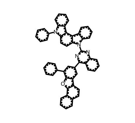 c1ccc(-c2cc(-c3nc(-n4c5ccccc5c5c6c7ccccc7n(-c7ccccc7)c6ccc54)nc4ccccc34)cc3c2oc2c4ccccc4ccc32)cc1